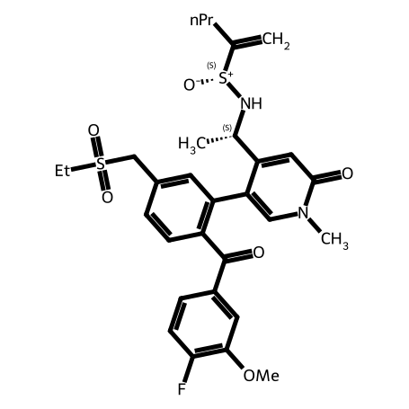 C=C(CCC)[S@@+]([O-])N[C@@H](C)c1cc(=O)n(C)cc1-c1cc(CS(=O)(=O)CC)ccc1C(=O)c1ccc(F)c(OC)c1